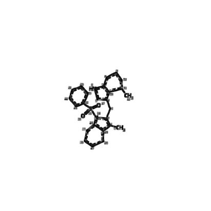 Cc1c(Cc2c[nH]c3cccc(C)c23)n(S(=O)(=O)c2ccccc2)c2ccccc12